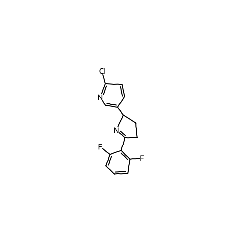 Fc1cccc(F)c1C1=NC(c2ccc(Cl)nc2)CC1